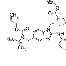 C=CCOC(=O)N(Cc1ccc2c(c1)nc(Nc1ccc(Cl)cc1)n2CC1CCCN1C(=O)OC(C)(C)C)[C@@H](C)C(C)(C)C